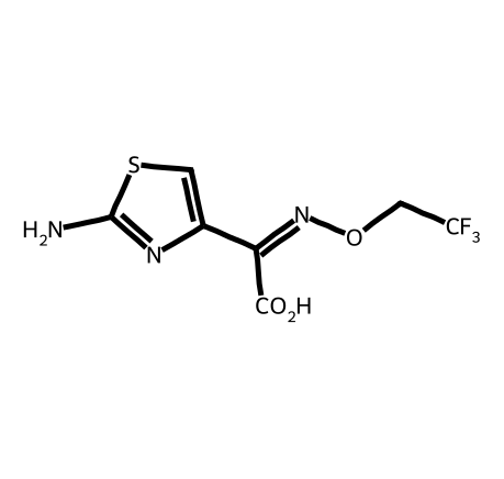 Nc1nc(/C(=N/OCC(F)(F)F)C(=O)O)cs1